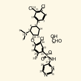 CN(C)[C@H]1C[C@@H](c2ccc(Cl)c(Cl)c2)CC[C@@H]1Oc1cc(F)c(S(=O)(=O)Nc2ccncn2)cc1Cl.O=CO